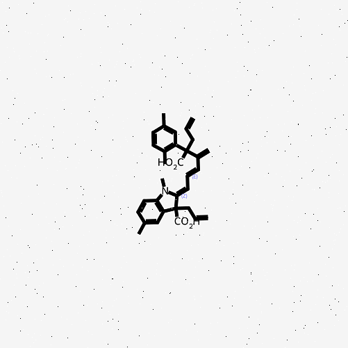 C=CCC(C(=C)/C=C/C=C1\N(C)c2ccc(C)cc2C1(CC=C)C(=O)O)(C(=O)O)c1cc(C)ccc1C